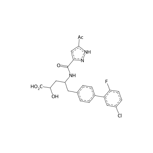 CC(=O)c1cc(C(=O)NC(Cc2ccc(-c3cc(Cl)ccc3F)cc2)CC(O)C(=O)O)n[nH]1